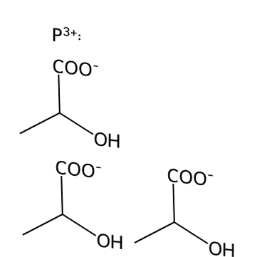 CC(O)C(=O)[O-].CC(O)C(=O)[O-].CC(O)C(=O)[O-].[P+3]